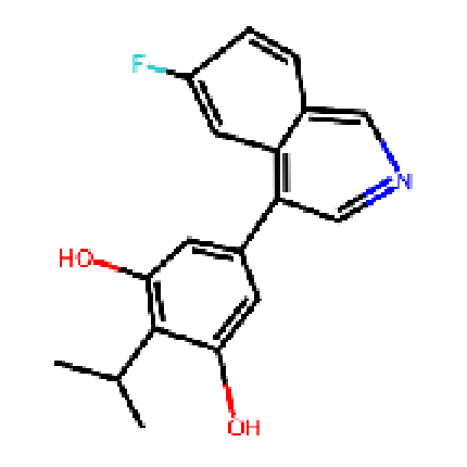 CC(C)c1c(O)cc(-c2cncc3ccc(F)cc23)cc1O